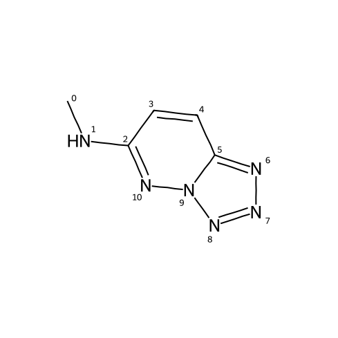 CNc1ccc2nnnn2n1